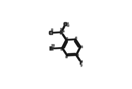 [O-][S+](Cl)c1ccc(F)cc1Br